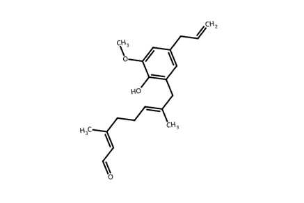 C=CCc1cc(CC(C)=CCCC(C)=CC=O)c(O)c(OC)c1